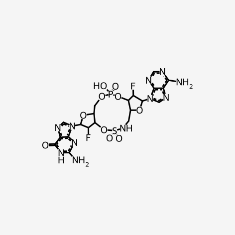 Nc1nc2c(ncn2C2OC3COP(=O)(O)OC4C(CNS(=O)(=O)OC3C2F)OC(n2cnc3c(N)ncnc32)C4F)c(=O)[nH]1